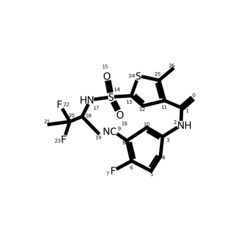 C=C(Nc1ccc(F)c(C#N)c1)c1cc(S(=O)(=O)NC(C)C(C)(F)F)sc1C